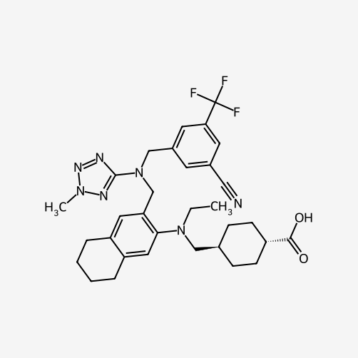 CCN(C[C@H]1CC[C@H](C(=O)O)CC1)c1cc2c(cc1CN(Cc1cc(C#N)cc(C(F)(F)F)c1)c1nnn(C)n1)CCCC2